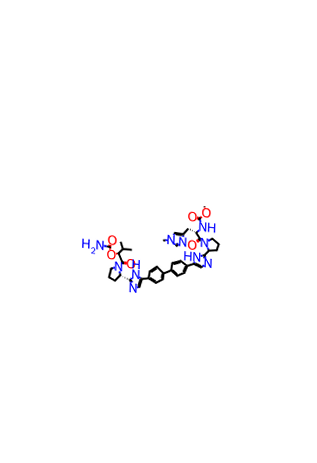 COC(=O)N[C@@H](Cc1cn(C)cn1)C(=O)N1CCCC1c1ncc(-c2ccc(-c3ccc(-c4cnc([C@@H]5CCCN5C(=O)[C@@H](OC(N)=O)C(C)C)[nH]4)cc3)cc2)[nH]1